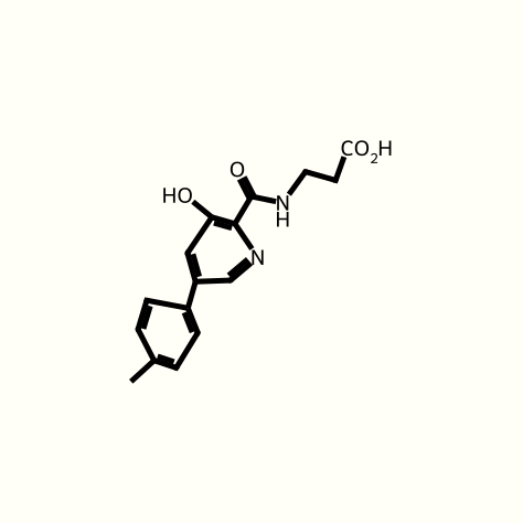 Cc1ccc(-c2cnc(C(=O)NCCC(=O)O)c(O)c2)cc1